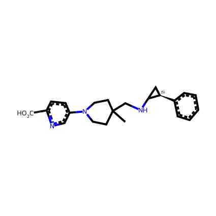 CC1(CNC2C[C@H]2c2ccccc2)CCN(c2ccc(C(=O)O)nc2)CC1